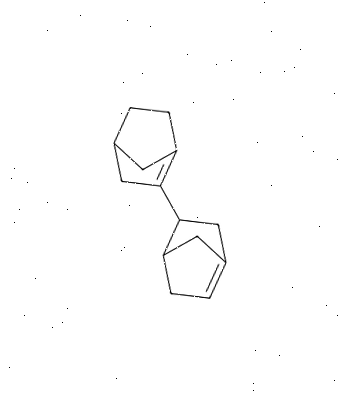 C1=C2CC(C1)C(C1=C3CCC(C3)C1)C2